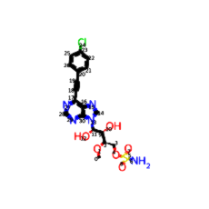 CO[C@H](COS(N)(=O)=O)[C@@H](O)[C@@H](O)n1cnc2c(C#Cc3ccc(Cl)cc3)ncnc21